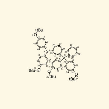 CC(C)(C)Oc1ccc([S+](c2ccc(OC(C)(C)C)cc2)c2ccc3c(c2)C(c2ccc(OC(C)(C)C)cc2)(c2ccc(OC(C)(C)C)cc2)c2ccccc2-3)cc1